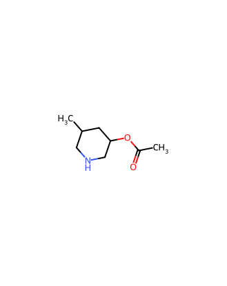 CC(=O)OC1CNCC(C)C1